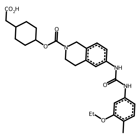 CCOc1cc(NC(=O)Nc2ccc3c(c2)CCN(C(=O)OC2CCC(CC(=O)O)CC2)C3)ccc1C